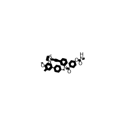 CNC(=O)O[C@H]1CC[C@H](C(=O)N(C[C@H]2CC[C@H](c3ccc(OC)c(C)c3)CC2)c2cccc(C#Cc3nccs3)c2)CC1